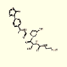 Cc1ncsc1-c1ccc([C@H](C)NC(=O)[C@@H]2C[C@@H](O)CN2C(=O)[C@@H](NC(=O)NCCC=O)C(C)(C)C)cc1